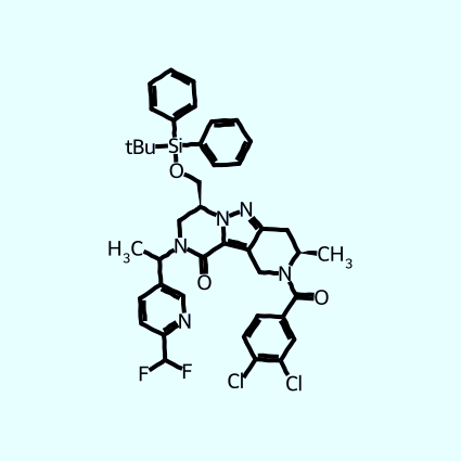 CC(c1ccc(C(F)F)nc1)N1C[C@@H](CO[Si](c2ccccc2)(c2ccccc2)C(C)(C)C)n2nc3c(c2C1=O)CN(C(=O)c1ccc(Cl)c(Cl)c1)[C@H](C)C3